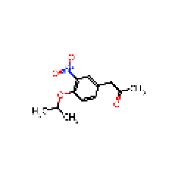 CC(=O)Cc1ccc(OC(C)C)c([N+](=O)[O-])c1